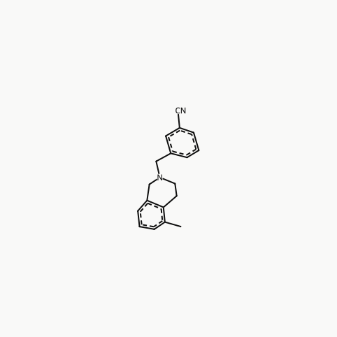 Cc1cccc2c1CCN(Cc1cccc(C#N)c1)C2